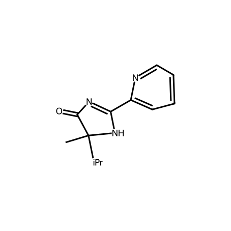 CC(C)C1(C)NC(c2ccccn2)=NC1=O